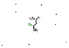 CCC(C)[CH]C(C)Cl